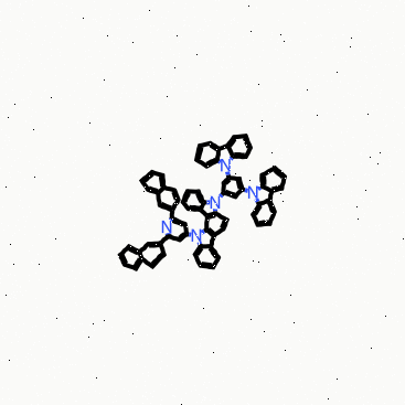 c1ccc2cc(-c3cc(-n4c5ccccc5c5ccc6c(c7ccccc7n6-c6cc(-n7c8ccccc8c8ccccc87)cc(-n7c8ccccc8c8ccccc87)c6)c54)cc(-c4ccc5ccccc5c4)n3)ccc2c1